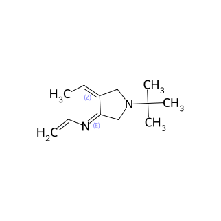 C=C/N=C1/CN(C(C)(C)C)C/C1=C/C